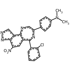 CN(C)c1ccc(-c2cnc3c(cc([N+](=O)[O-])c4nncc43)c(-c3ccccc3Cl)n2)cc1